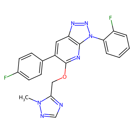 Cn1ncnc1COc1nc2c(cc1-c1ccc(F)cc1)nnn2-c1ccccc1F